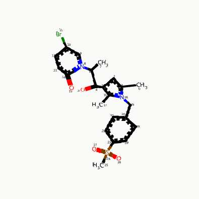 Cc1cc(C(=O)C(C)n2cc(Br)ccc2=O)c(C)n1Cc1ccc(S(C)(=O)=O)cc1